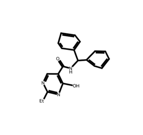 CCc1ncc(C(=O)NC(c2ccccc2)c2ccccc2)c(O)n1